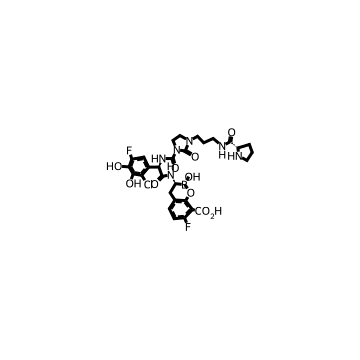 O=C(O)c1c(F)ccc2c1OB(O)[C@@H](NC(=O)[C@H](NC(=O)N1CCN(CCCNC(=O)[C@@H]3CCCN3)C1=O)c1cc(F)c(O)c(O)c1Cl)C2